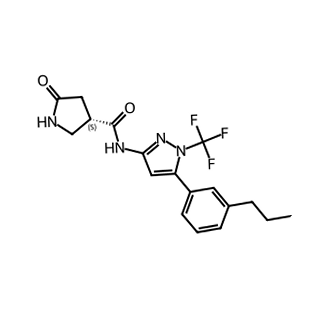 CCCc1cccc(-c2cc(NC(=O)[C@@H]3CNC(=O)C3)nn2C(F)(F)F)c1